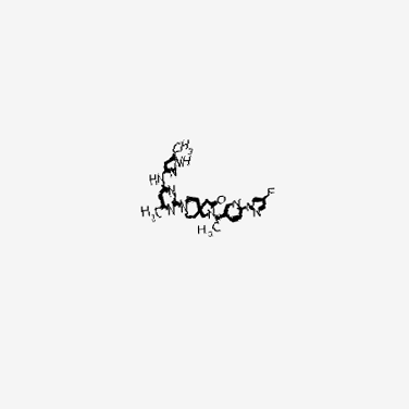 Cc1cc(Nc2cc(C)[nH]n2)nc(N2CCC3(CC2)CC(=O)N([C@@H](C)c2ccc(-n4cc(F)cn4)nc2)C3)n1